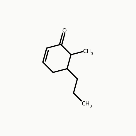 CCCC1CC=CC(=O)C1C